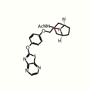 CC(=O)NC1C[C@H]2CC[C@@H](C1)N2CCOc1ccc(Oc2nc3nccnc3s2)cc1